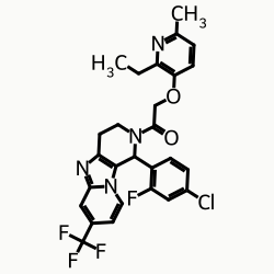 CCc1nc(C)ccc1OCC(=O)N1CCc2nc3cc(C(F)(F)F)ccn3c2C1c1ccc(Cl)cc1F